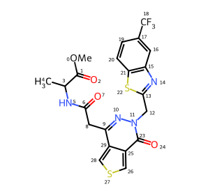 COC(=O)C(C)NC(=O)Cc1nn(Cc2nc3cc(C(F)(F)F)ccc3s2)c(=O)c2cscc12